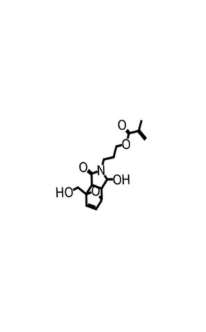 C=C(C)C(=O)OCCCN1C(=O)C2C(C3C=CC2(CO)O3)C1O